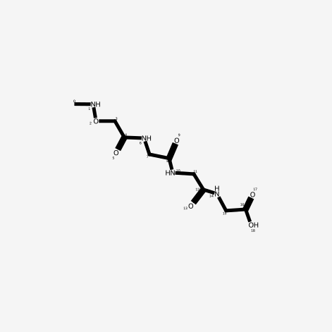 CNOCC(=O)NCC(=O)NCC(=O)NCC(=O)O